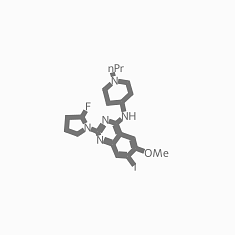 CCCN1CCC(Nc2nc(N3CCCC3F)nc3cc(I)c(OC)cc23)CC1